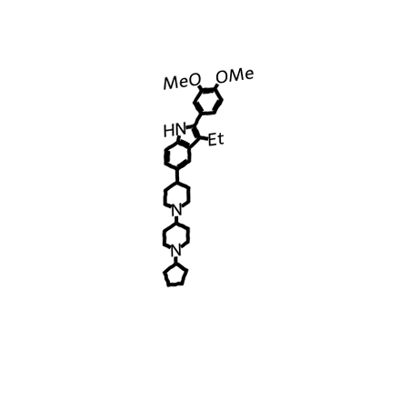 CCc1c(-c2ccc(OC)c(OC)c2)[nH]c2ccc(C3CCN(C4CCN(C5CCCC5)CC4)CC3)cc12